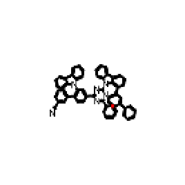 N#Cc1cccc(-c2ccc(-c3nc(-c4ccccc4)nc(-n4c5ccccc5c5cccc(-c6cccc(-c7ccccc7)c6)c54)n3)cc2-n2c3ccccc3c3ccccc32)c1